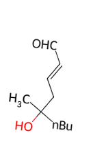 CCCCC(C)(O)CC=CC=O